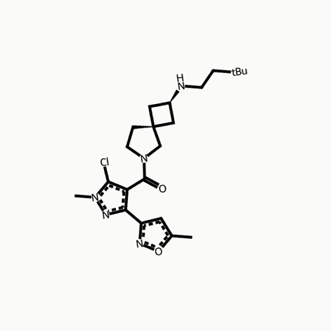 Cc1cc(-c2nn(C)c(Cl)c2C(=O)N2CC[C@]3(C2)C[C@H](NCCC(C)(C)C)C3)no1